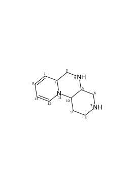 C1=CC2CNC3CNCCC3N2C=C1